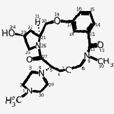 CN1CCN([C@H]2CCCN(C)C(=O)c3cccc(c3)OC[C@@H]3C[C@H](O)CN3C2=O)CC1